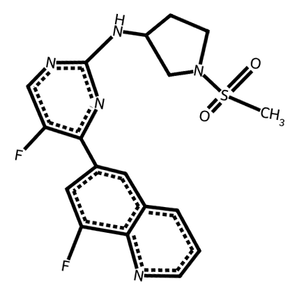 CS(=O)(=O)N1CCC(Nc2ncc(F)c(-c3cc(F)c4ncccc4c3)n2)C1